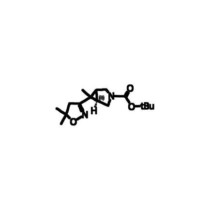 CC(C)(C)OC(=O)N1CC2[C@@H](C1)C2(C)C1=NOC(C)(C)C1